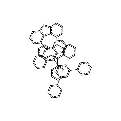 c1ccc(-c2c3ccccc3c(-c3cccc4sc5cccc(-c6c7ccccc7c(-c7cc(-c8cccnc8)cc(-c8cccnc8)c7)c7ccccc67)c5c34)c3ccccc23)cc1